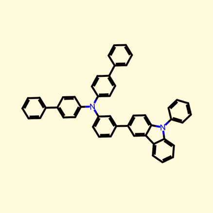 c1ccc(-c2ccc(N(c3ccc(-c4ccccc4)cc3)c3cccc(-c4ccc5c(c4)c4ccccc4n5-c4ccccc4)c3)cc2)cc1